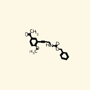 COc1ccc(C(C)=O)cc1C#CCNC(=O)OCc1ccccc1